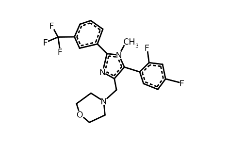 Cn1c(-c2cccc(C(F)(F)F)c2)nc(CN2CCOCC2)c1-c1ccc(F)cc1F